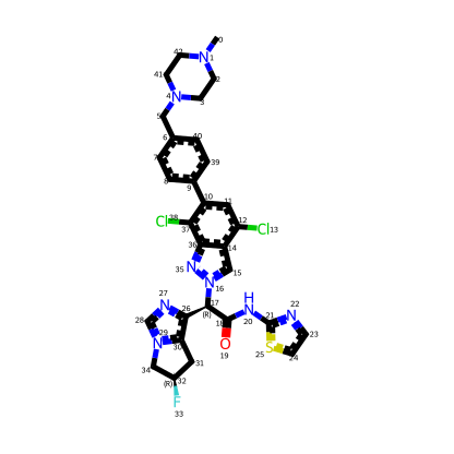 CN1CCN(Cc2ccc(-c3cc(Cl)c4cn([C@@H](C(=O)Nc5nccs5)c5ncn6c5C[C@@H](F)C6)nc4c3Cl)cc2)CC1